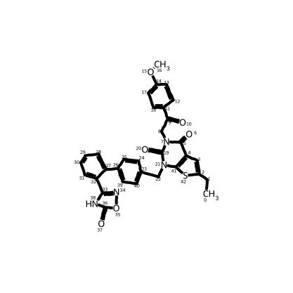 CCc1cc2c(=O)n(CC(=O)c3ccc(OC)cc3)c(=O)n(Cc3ccc(-c4ccccc4-c4noc(=O)[nH]4)cc3)c2s1